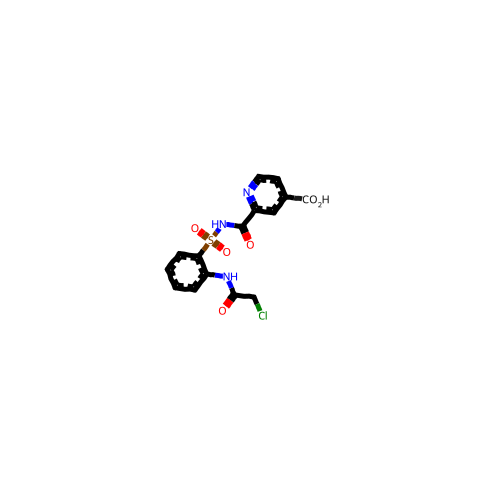 O=C(CCl)Nc1ccccc1S(=O)(=O)NC(=O)c1cc(C(=O)O)ccn1